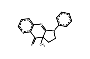 CC12CCN(c3ccccc3)C1=Nc1cccnc1C2=O